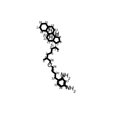 CC(CCCC(C)[C@H]1CC[C@H]2[C@@H]3CCC4CCCC[C@]4(C)[C@H]3CC[C@]12C)COCCCCc1ccc(N)cc1N